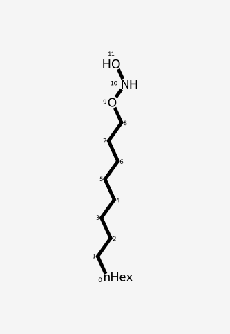 CCCCCCCCCCCCCCONO